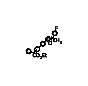 CCOC(=O)C(c1ccccc1)N1CCC(c2ccc(-n3ccn([C@H](C)c4ccc(F)cc4)c3=O)cc2)CC1